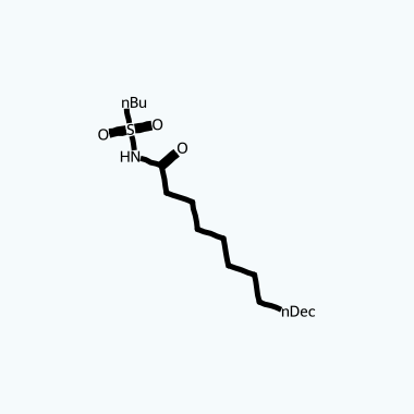 CCCCCCCCCCCCCCCCCC(=O)NS(=O)(=O)CCCC